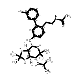 CC(=O)NCCc1ccc(O[C@@H]2OC(C)(C)[C@H](OC(C)C)[C@H]3OC(C)(C)O[C@@H]23)cc1-c1cccc(F)c1